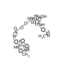 Cc1ccc(NC(=O)c2ccc(CN3CCN(C(=O)CCOCCOCCC(=O)N[C@H](C(=O)N4C[C@H](O)C[C@H]4C(=O)NCc4ccc(-c5scnc5C)cc4)C(C)(C)C)CC3)cc2)cc1Nc1nccc(-c2cccnc2)n1